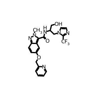 Cn1nc2ccc(OCc3ccccn3)cc2c1C(=O)NC(CO)Cn1ccnc1C(F)(F)F